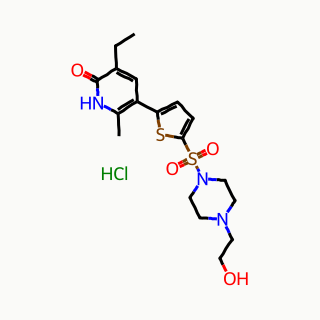 CCc1cc(-c2ccc(S(=O)(=O)N3CCN(CCO)CC3)s2)c(C)[nH]c1=O.Cl